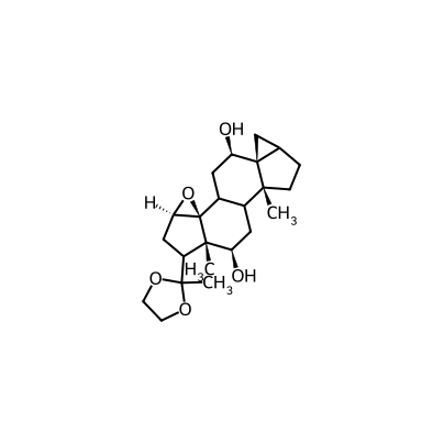 CC1(C2C[C@H]3O[C@]34C3C[C@@H](O)[C@]56CC5CC[C@]6(C)C3C[C@@H](O)[C@]24C)OCCO1